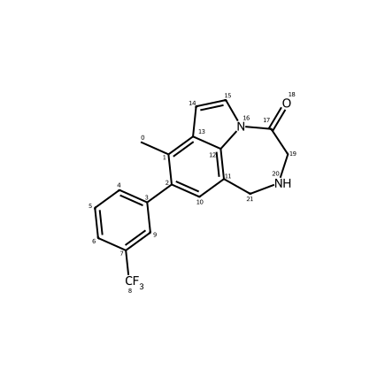 Cc1c(-c2cccc(C(F)(F)F)c2)cc2c3c1ccn3C(=O)CNC2